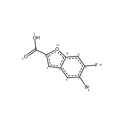 O=C(O)c1cc2cc(Br)c(F)cc2o1